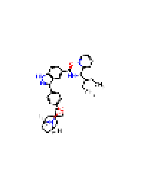 CCC(CC)C(NC(=O)c1ccc2[nH]nc(-c3ccc(O[C@H]4C[C@H]5CC[C@@H](C4)N5C4COC4)cc3)c2c1)c1ccccn1